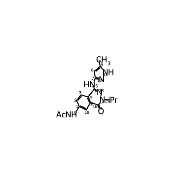 CC(=O)Nc1ccc2c(Nc3cc(C)[nH]n3)nn(C(C)C)c(=O)c2c1